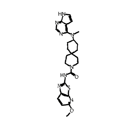 COc1ccc2nc(NC(=O)N3CCC4(CCC(N(C)c5ncnc6[nH]ccc56)CC4)CC3)sc2n1